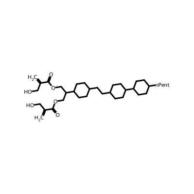 C=C(CO)C(=O)OCC(COC(=O)C(=C)CO)C1CCC(CCC2CCC(C3CCC(CCCCC)CC3)CC2)CC1